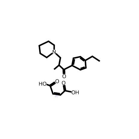 CCc1ccc(C(=O)C(C)CN2CCCCC2)cc1.O=C(O)/C=C\C(=O)O